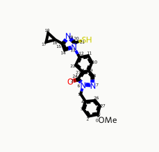 COc1ccc(Cn2ncc3ccc(-n4cc(C5CC5)nc4S)cc3c2=O)cc1